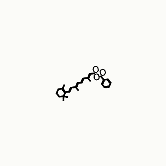 CC1=C(/C=C/C(C)=C/C=C/C(C)=C/C(=O)OC(=O)c2ccccc2)C(C)(C)CCC1